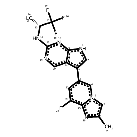 Cc1cn2cc(-c3c[nH]c4nc(N[C@H](C)C(F)(F)F)ncc34)cc(F)c2n1